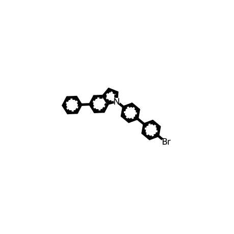 Brc1ccc(-c2ccc(-n3ccc4cc(-c5ccccc5)ccc43)cc2)cc1